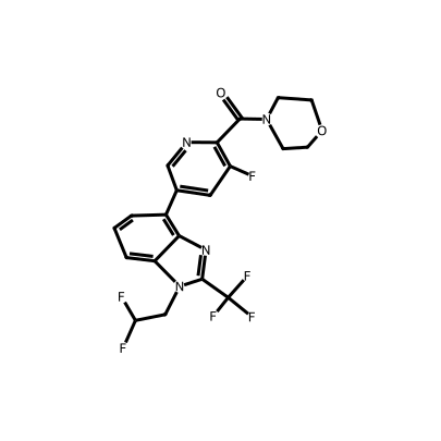 O=C(c1ncc(-c2cccc3c2nc(C(F)(F)F)n3CC(F)F)cc1F)N1CCOCC1